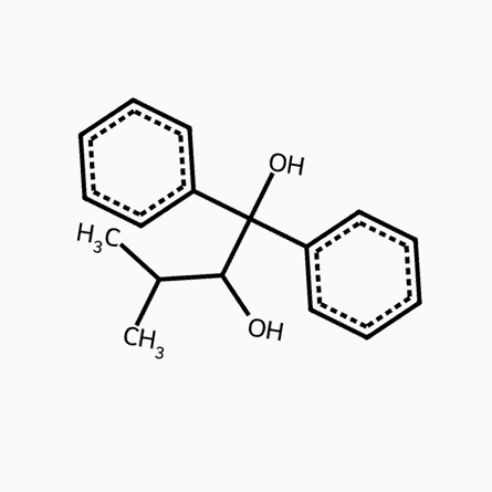 CC(C)C(O)C(O)(c1ccccc1)c1ccccc1